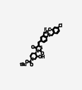 CC(C)(C)OC(=O)N1CCC(N2C(=O)S/C(=C\c3ccc4c(cnn4Cc4ccc(Cl)cc4C(F)(F)F)c3)C2=O)C(O)C1